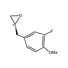 COc1ccc(C[C@H]2CO2)cc1F